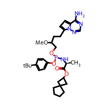 COC(CCc1ccc2c(N)ncnn12)COP(N[C@@H](C)C(=O)OC1CC2(CCCC2)C1)Oc1ccc(C(C)(C)C)cc1